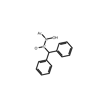 CC(=O)N(O)[S+]([O-])C(c1ccccc1)c1ccccc1